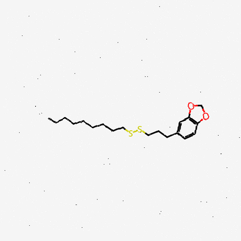 CCCCCCCCCSSCCCc1ccc2c(c1)OCO2